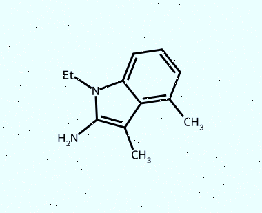 CCn1c(N)c(C)c2c(C)cccc21